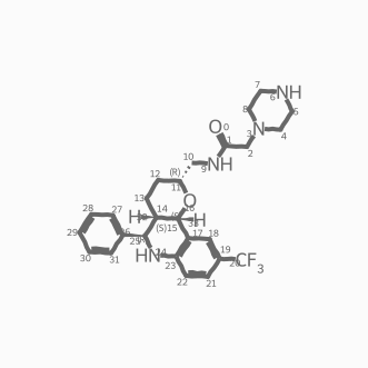 O=C(CN1CCNCC1)NC[C@H]1CC[C@@H]2[C@H](O1)c1cc(C(F)(F)F)ccc1N[C@H]2c1ccccc1